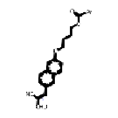 CC(C)C(=O)OCCCCOc1ccc2cc(/C=C(\C#N)C=O)ccc2c1